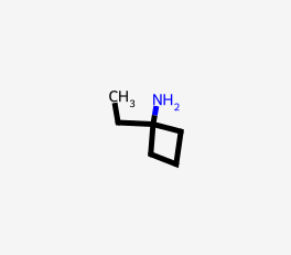 CCC1(N)CCC1